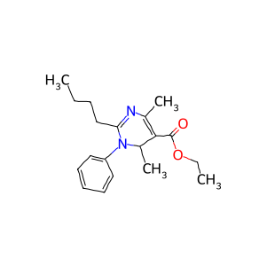 CCCCC1=NC(C)=C(C(=O)OCC)C(C)N1c1ccccc1